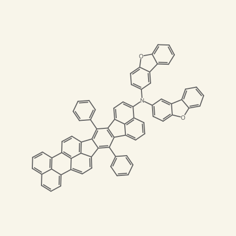 c1ccc(-c2c3c4cccc5c(N(c6ccc7oc8ccccc8c7c6)c6ccc7oc8ccccc8c7c6)ccc(c3c(-c3ccccc3)c3c6ccc7c8cccc9cccc(c%10ccc(c23)c6c%107)c98)c54)cc1